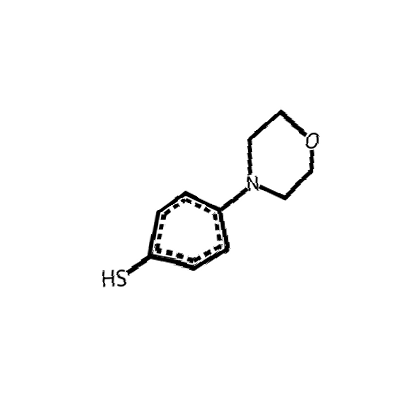 Sc1ccc(N2CCOCC2)cc1